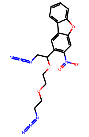 [N-]=[N+]=NCCOCCOC(CN=[N+]=[N-])c1cc2c(cc1[N+](=O)[O-])oc1ccccc12